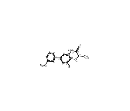 CSc1cccc(-c2cc(F)c3c(c2)NC(=O)[C@@H](C)O3)c1